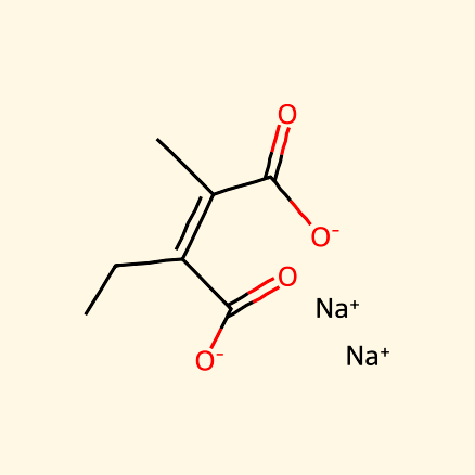 CC/C(C(=O)[O-])=C(\C)C(=O)[O-].[Na+].[Na+]